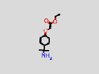 CCOC(=O)COC1CCC(C(C)(C)N)CC1